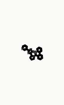 O=C(c1ccccc1-c1ccccc1)N1CCCC1c1nc(-c2cccnc2)n[nH]1